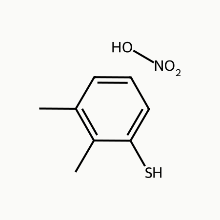 Cc1cccc(S)c1C.O=[N+]([O-])O